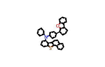 c1ccc(N(c2ccc(-c3cccc4c3oc3ccccc34)cc2)c2cccc3sc4c5ccccc5ccc4c23)cc1